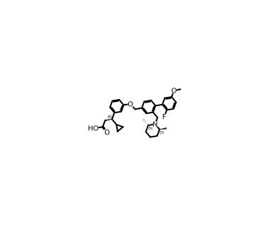 COc1ccc(F)c(-c2ccc(COc3cccc([C@H](CC(=O)O)C4CC4)c3)cc2CN2[C@@H](C)CCC[C@@H]2C)c1